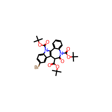 CC(C)(C)OC(=O)C1C(=O)N(C(=O)OC(C)(C)C)c2ccccc2-c2c1c1cc(Br)ccc1n2C(=O)OC(C)(C)C